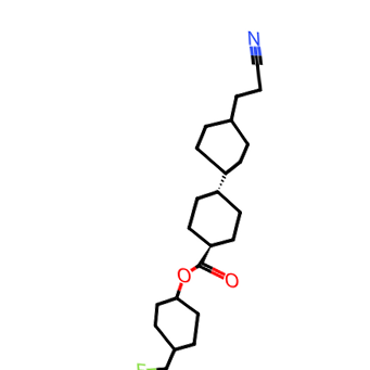 N#CCCC1CCC([C@H]2CC[C@H](C(=O)OC3CCC(CF)CC3)CC2)CC1